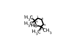 CC1(C)BC(C)(C)CCC1